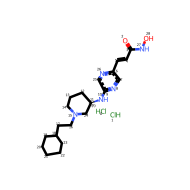 Cl.Cl.O=C(C=Cc1cnc(N[C@@H]2CCCN(CCC3CCCCC3)C2)cn1)NO